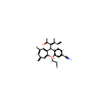 C=C/C(C)=C(/C(C)=O)C(C1=CC(C)=CC(=C)C=C1OCCC)c1ccc(C#N)cc1C